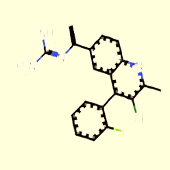 C=C(N=C(N)N)c1ccc2nc(C)c(Cl)c(-c3ccccc3F)c2c1